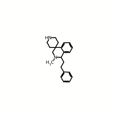 CN1CC2(CCNCC2)c2ccccc2C1CCc1ccccc1